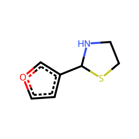 c1cc(C2NCCS2)co1